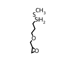 CS[SiH2]CCCOCC1CO1